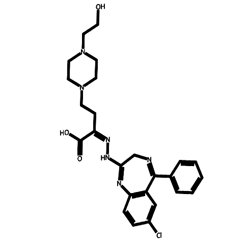 O=C(O)C(CCN1CCN(CCO)CC1)=NNC1=Nc2ccc(Cl)cc2C(c2ccccc2)=NC1